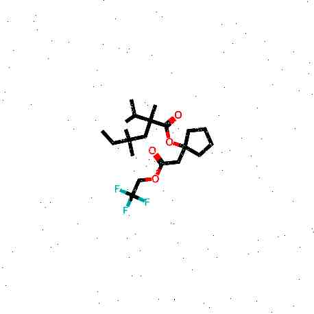 CCC(C)(C)CC(C)(C(=O)OC1(CC(=O)OCC(F)(F)F)CCCC1)C(C)C